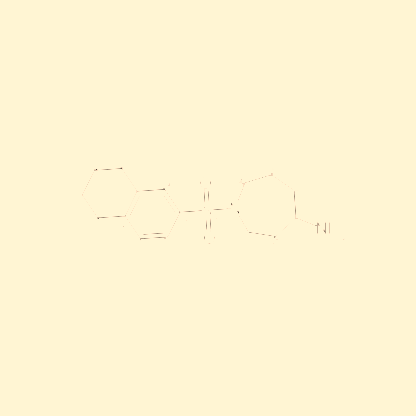 NC1CCCN(S(=O)(=O)c2ccc3c(c2)CCCC3)CC1